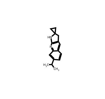 CC(C)c1ccc2cc3c(nc2c1)NC1(CC1)C3